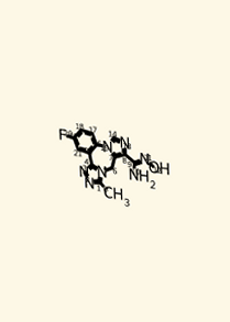 Cc1nnc2n1Cc1c(/C(N)=N/O)ncn1-c1ccc(F)cc1-2